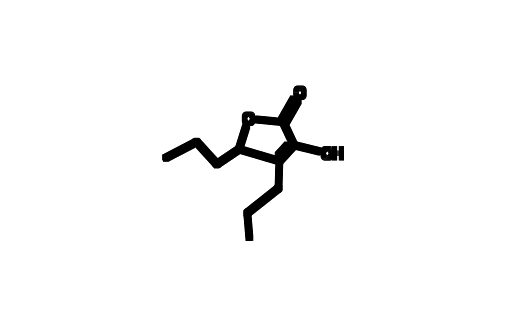 CCCC1=C(O)C(=O)OC1CCC